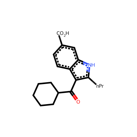 CCCc1[nH]c2cc(C(=O)O)ccc2c1C(=O)C1CCCCC1